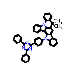 CC1(C)c2ccccc2-n2c3ccccc3c3c2c1cc1c2ccccc2n(-c2ccc(-c4nc(-c5ccccc5)nc(-c5ccccc5)n4)cc2)c13